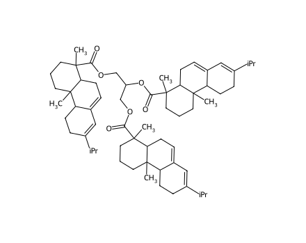 CC(C)C1=CC2=CCC3C(C)(C(=O)OCC(COC(=O)C4(C)CCCC5(C)C6CCC(C(C)C)=CC6=CCC45)OC(=O)C4(C)CCCC5(C)C6CCC(C(C)C)=CC6=CCC45)CCCC3(C)C2CC1